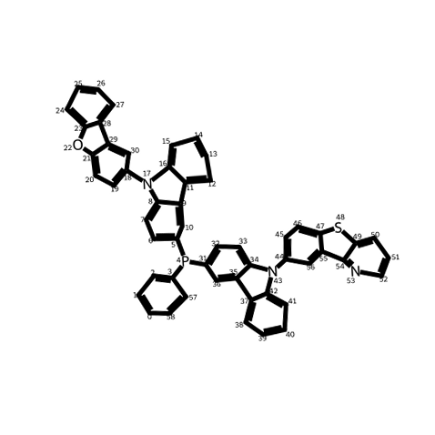 c1ccc(P(c2ccc3c(c2)c2ccccc2n3-c2ccc3oc4ccccc4c3c2)c2ccc3c(c2)c2ccccc2n3-c2ccc3sc4cccnc4c3c2)cc1